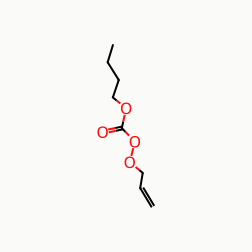 C=CCOOC(=O)OCCCC